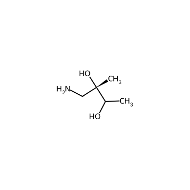 CC(O)[C@@](C)(O)CN